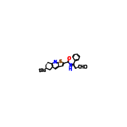 CC(C)(C)C1CCc2nc3sc(C(=O)N[C@H](CC=O)c4ccccc4)cc3cc2C1